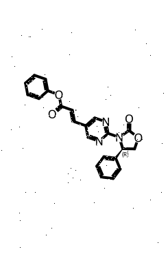 O=C([C]=Cc1cnc(N2C(=O)OC[C@H]2c2ccccc2)nc1)Oc1ccccc1